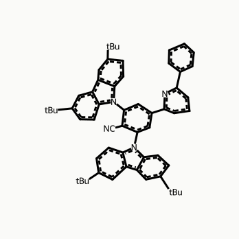 CC(C)(C)c1ccc2c(c1)c1cc(C(C)(C)C)ccc1n2-c1cc(-c2cccc(-c3ccccc3)n2)cc(-n2c3ccc(C(C)(C)C)cc3c3cc(C(C)(C)C)ccc32)c1C#N